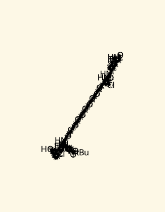 CC(C)(C)OC(=O)N1CCN(c2nc(NCCOCCOCCOCCOCCOCCOCCOCCOCCOCCOCCc3cc(Cl)cc(NC(=O)NCc4ccc5c(c4)CN(C4CCC(=O)NC4=O)C5=O)c3)nc3c(F)c(-c4cc(O)cc5ccccc45)c(Cl)cc23)CC1